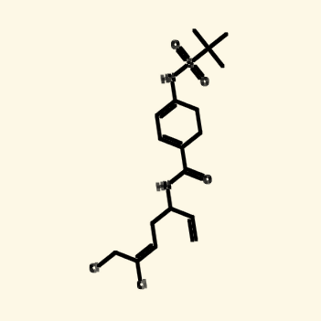 C=CC(C/C=C(/Cl)CCl)NC(=O)C1=CC=C(NS(=O)(=O)C(C)(C)C)CC1